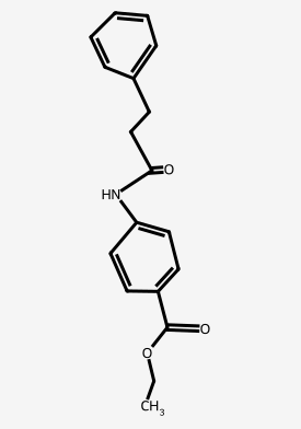 CCOC(=O)c1ccc(NC(=O)CCc2ccccc2)cc1